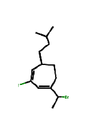 CC(C)CCC1C=C(F)C=C(C(C)Br)CC1